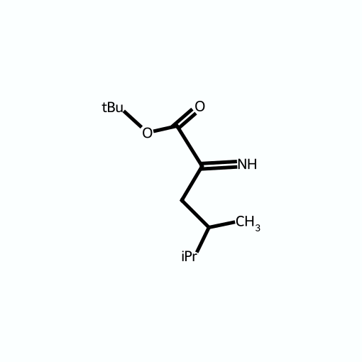 CC(C)C(C)CC(=N)C(=O)OC(C)(C)C